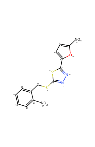 O=[N+]([O-])c1ccc(-c2nnc(SCc3ccccc3[N+](=O)[O-])s2)o1